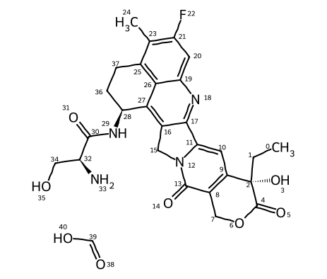 CC[C@@]1(O)C(=O)OCc2c1cc1n(c2=O)Cc2c-1nc1cc(F)c(C)c3c1c2[C@@H](NC(=O)[C@@H](N)CO)CC3.O=CO